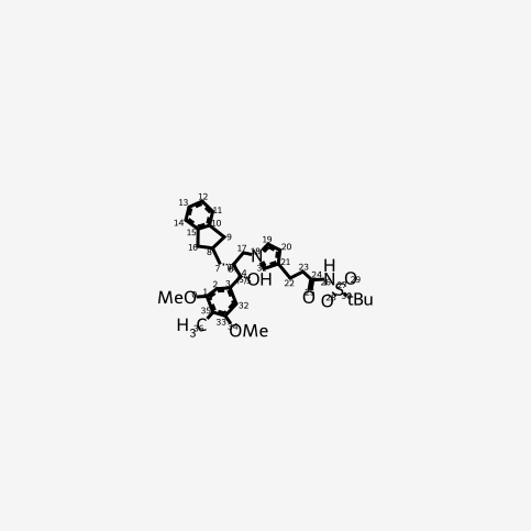 COc1cc([C@@H](O)[C@H](CC2Cc3ccccc3C2)Cn2ccc(CCC(=O)NS(=O)(=O)C(C)(C)C)c2)cc(OC)c1C